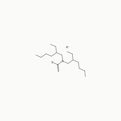 CCCCC(CC)CN(CC(CC)CCCC)C(=S)[S-].[K+]